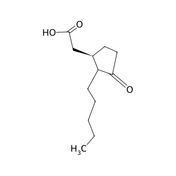 CCCCCC1C(=O)CC[C@@H]1CC(=O)O